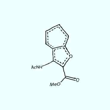 COC(=O)c1oc2ccccc2c1NC(C)=O